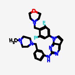 CN1CCN(Cc2cccc(Nc3ncc4ccn(-c5cc(F)c(CN6CCOCC6)c(F)c5)c4n3)c2)CC1